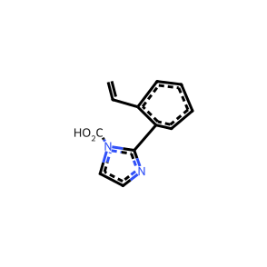 C=Cc1ccccc1-c1nccn1C(=O)O